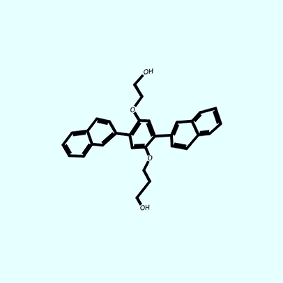 OCCCOc1cc(-c2ccc3ccccc3c2)c(OCCO)cc1-c1ccc2ccccc2c1